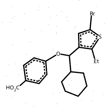 CCc1sc(Br)cc1C(Oc1ccc(C(=O)O)cc1)C1CCCCC1